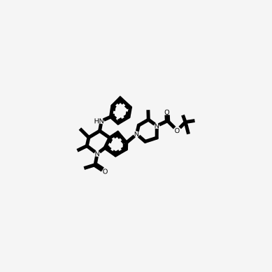 CC(=O)N1c2ccc(N3CCN(C(=O)OC(C)(C)C)C(C)C3)cc2C(Nc2ccccc2)C(C)C1C